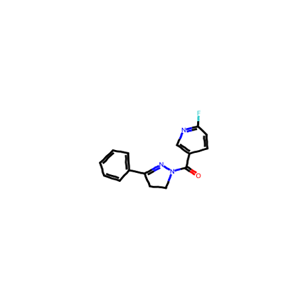 O=C(c1ccc(F)nc1)N1CCC(c2ccccc2)=N1